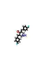 O=C1/C(=C/c2ccc(F)cc2)CNC/C1=C\c1ccc(F)cc1